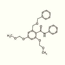 COCOc1cc(COCc2ccccc2)c(C(=O)Nc2ccccc2)c(OCOC)c1